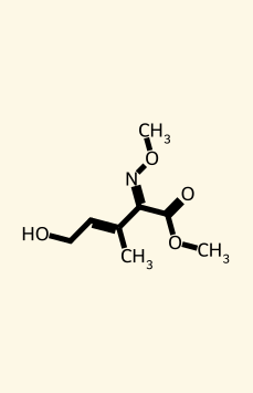 CON=C(C(=O)OC)C(C)=CCO